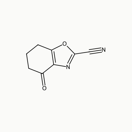 N#Cc1nc2c(o1)CCCC2=O